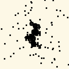 COc1cccc(NC(=O)NCCNS(=O)(=O)c2ccc(-c3ccccc3OCc3ccccc3)s2)c1